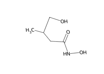 CC(CO)CC(=O)NO